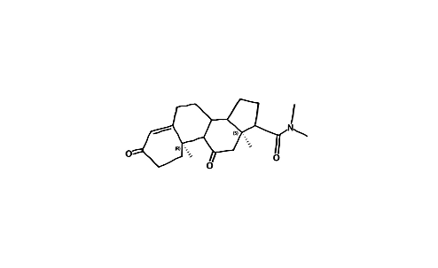 CN(C)C(=O)C1CCC2C3CCC4=CC(=O)CC[C@]4(C)C3C(=O)C[C@]12C